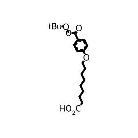 CC(C)(C)OOC(=O)c1ccc(OCCCCCCCCC(=O)O)cc1